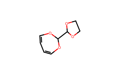 C1=COC(C2OCCO2)OC=C1